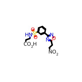 O=C(O)CCNS(=O)(=O)c1cccc(-c2noc(CC[N+](=O)[O-])n2)c1